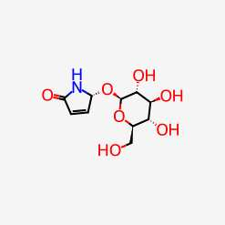 O=C1C=C[C@@H](O[C@@H]2O[C@H](CO)[C@@H](O)[C@H](O)[C@H]2O)N1